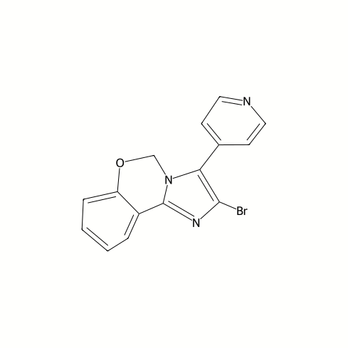 Brc1nc2n(c1-c1ccncc1)COc1ccccc1-2